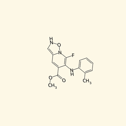 COC(=O)C1=CC2=CNON2C(F)=C1Nc1ccccc1C